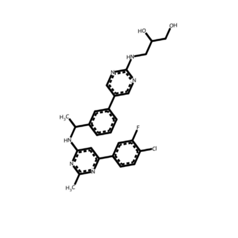 Cc1nc(NC(C)c2cccc(-c3cnc(NCC(O)CO)nc3)c2)cc(-c2ccc(Cl)c(F)c2)n1